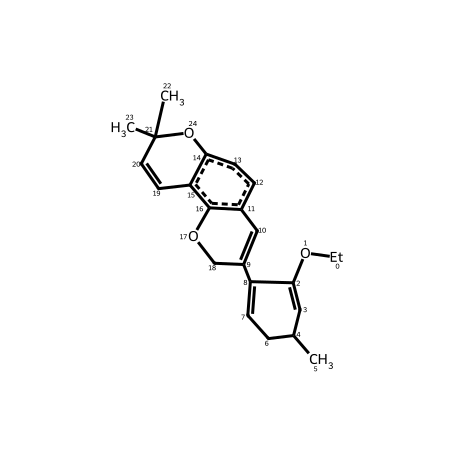 CCOC1=CC(C)CC=C1C1=Cc2ccc3c(c2OC1)C=CC(C)(C)O3